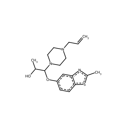 C=CCN1CCN(C(Oc2ccc3sc(C)nc3c2)C(C)O)CC1